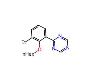 CCCCCCOc1c(CC)cccc1-c1ncncn1